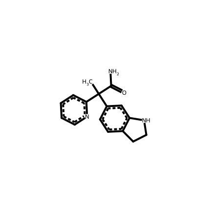 CC(C(N)=O)(c1ccc2c(c1)NCC2)c1ccccn1